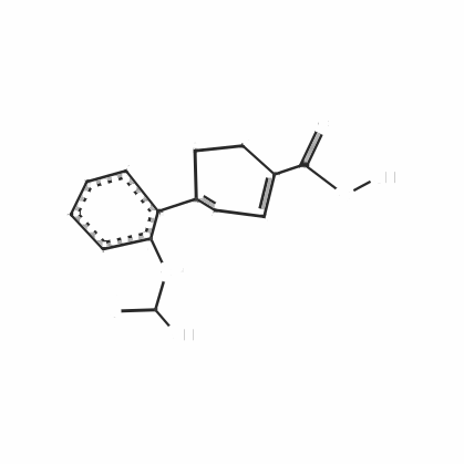 COC(=O)C1=CC=C(c2ccccc2OC(C)C)CC1